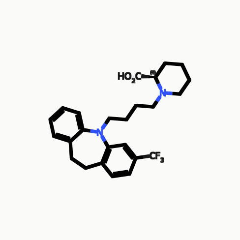 O=C(O)[C@H]1CCCCN1CCCCN1c2ccccc2CCc2ccc(C(F)(F)F)cc21